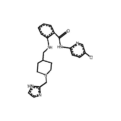 O=C(Nc1ccc(Cl)cn1)c1ccccc1NCC1CCN(Cc2ncc[nH]2)CC1